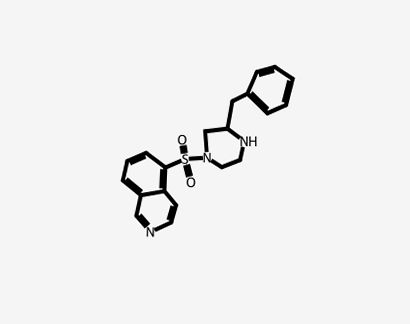 O=S(=O)(c1cccc2cnccc12)N1CCNC(Cc2ccccc2)C1